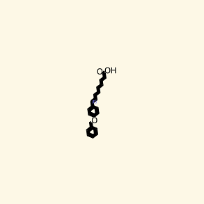 O=C(O)CCCCCC/C=C/c1ccc(OCc2ccccc2)cc1